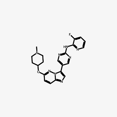 CN1CCC(Oc2ccc3ncc(-c4cnc(Nc5ncccc5F)nc4)n3n2)CC1